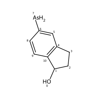 OC1CCc2cc([AsH2])ccc21